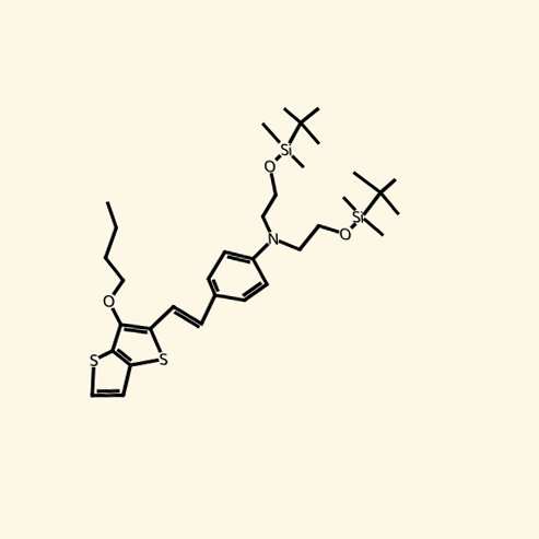 CCCCOc1c(/C=C/c2ccc(N(CCO[Si](C)(C)C(C)(C)C)CCO[Si](C)(C)C(C)(C)C)cc2)sc2ccsc12